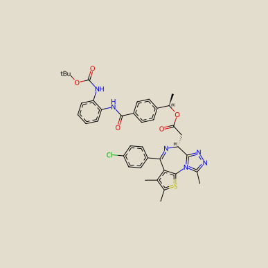 Cc1sc2c(c1C)C(c1ccc(Cl)cc1)=N[C@H](CC(=O)O[C@H](C)c1ccc(C(=O)Nc3ccccc3NC(=O)OC(C)(C)C)cc1)c1nnc(C)n1-2